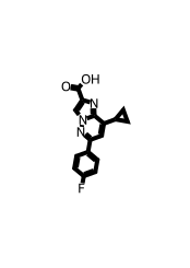 O=C(O)c1cn2nc(-c3ccc(F)cc3)cc(C3CC3)c2n1